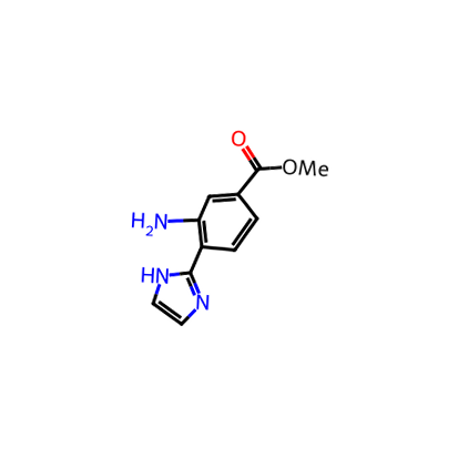 COC(=O)c1ccc(-c2ncc[nH]2)c(N)c1